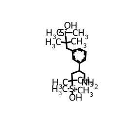 CC(C)(Cc1cccc(C(CN)CC(C)(C)[Si](C)(C)O)c1)[Si](C)(C)O